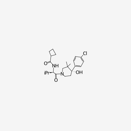 CC(C)[C@@H](NC(=O)C1CCC1)C(=O)N1CC[C@](O)(c2ccc(Cl)cc2)C(C)(C)C1